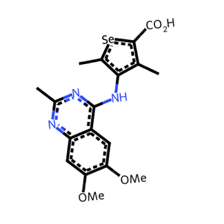 COc1cc2nc(C)nc(Nc3c(C)[se]c(C(=O)O)c3C)c2cc1OC